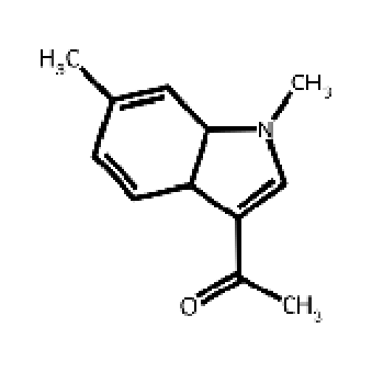 CC(=O)C1=CN(C)C2C=C(C)C=CC12